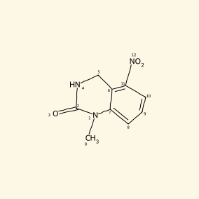 CN1C(=O)NCc2c1cccc2[N+](=O)[O-]